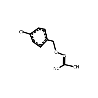 N#CC(C#N)=NOCc1ccc(Cl)cc1